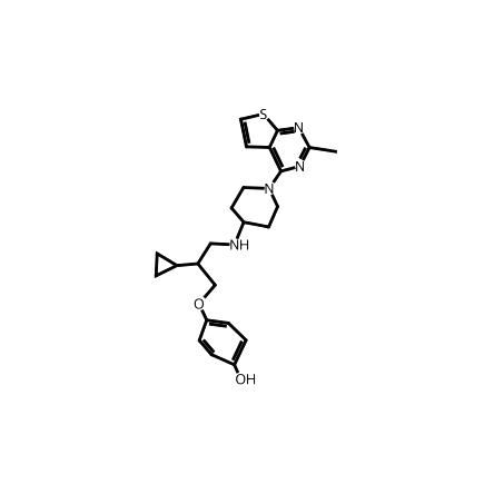 Cc1nc(N2CCC(NCC(COc3ccc(O)cc3)C3CC3)CC2)c2ccsc2n1